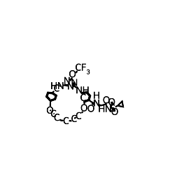 O=C(CNC(=O)c1ccc2cc1OCCCCCCCCOc1ccc(cc1)CNc1nc(nc(OCC(F)(F)F)n1)N2)NS(=O)(=O)C1CC1